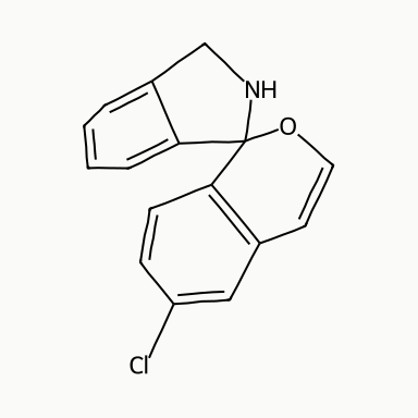 Clc1ccc2c(c1)C=COC21NCc2ccccc21